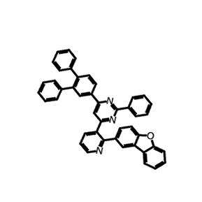 c1ccc(-c2nc(-c3ccc(-c4ccccc4)c(-c4ccccc4)c3)cc(-c3cccnc3-c3ccc4oc5ccccc5c4c3)n2)cc1